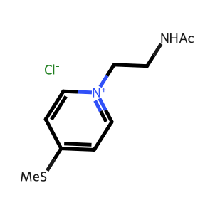 CSc1cc[n+](CCNC(C)=O)cc1.[Cl-]